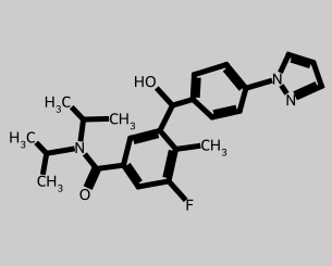 Cc1c(F)cc(C(=O)N(C(C)C)C(C)C)cc1C(O)c1ccc(-n2cccn2)cc1